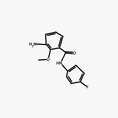 COc1c(N)cccc1C(=O)Nc1ccc(F)cc1